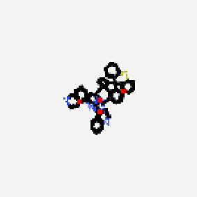 C1=C2Sc3ccccc3C3(C2=CCC1)c1cccc(-c2cc(-c4ccncc4)nc(-c4ccncc4)c2)c1-c1c(-c2nc(-c4ccccc4)nc(-c4ccccc4)n2)cccc13